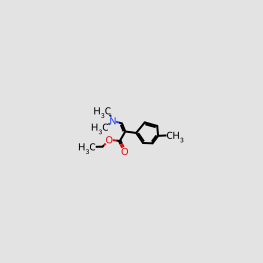 CCOC(=O)C(=CN(C)C)c1ccc(C)cc1